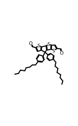 CCCCCCCCc1ccc(C2(c3ccc(CCCCCCCC)cc3)c3cc(C=O)sc3-c3sc4cc(C=O)sc4c32)cc1